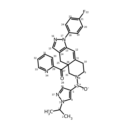 CC(C)n1cc([S+]([O-])N2CCC3=Cc4c(cnn4-c4ccc(F)cc4)CC3(C(=O)c3ccccn3)C2)cn1